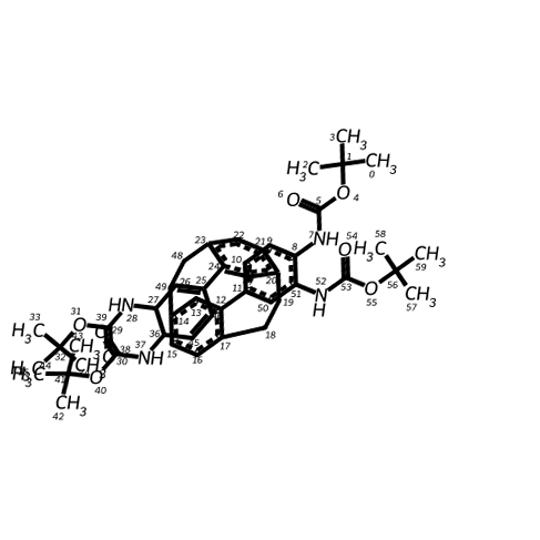 CC(C)(C)OC(=O)Nc1ccc(-c2cc3ccc2CCc2ccc(c(C4=CC(NC(=O)OC(C)(C)C)C(NC(=O)OC(C)(C)C)C=C4)c2)CC3)cc1NC(=O)OC(C)(C)C